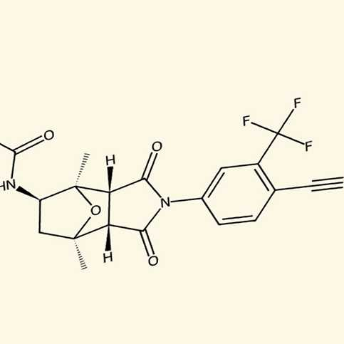 COC(=O)N[C@@H]1C[C@@]2(C)O[C@]1(C)[C@@H]1C(=O)N(c3ccc(C#N)c(C(F)(F)F)c3)C(=O)[C@@H]12